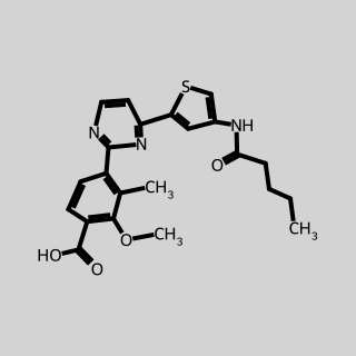 CCCCC(=O)Nc1csc(-c2ccnc(-c3ccc(C(=O)O)c(OC)c3C)n2)c1